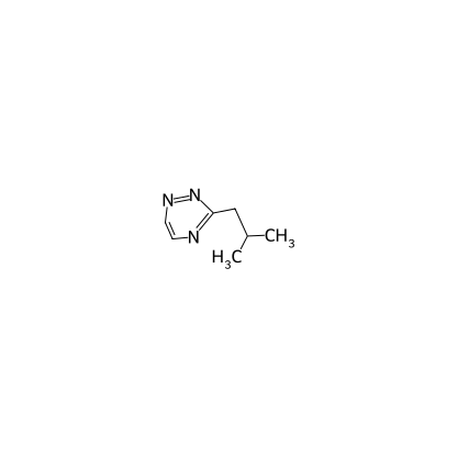 CC(C)Cc1nccnn1